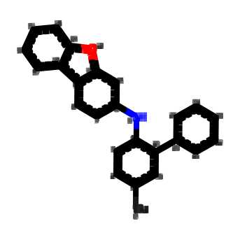 CC(C)(C)c1ccc(Nc2ccc3c(c2)oc2ccccc23)c(-c2ccccc2)c1